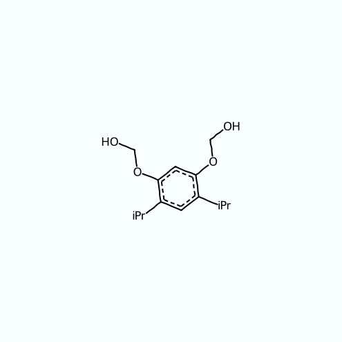 CC(C)c1cc(C(C)C)c(OCO)cc1OCO